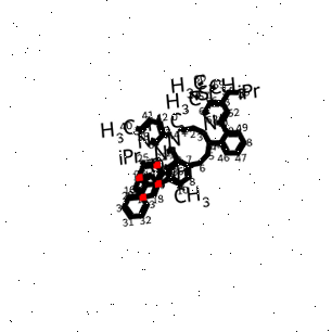 C=C1CC2C(CCc3cc(C)c4c(oc5ccccc54)c3-c3n(-c4c(C(C)C)cc(-c5ccccc5)cc4C(C)C)c4nc(C)ccc4[n+]31)c1ccccc1-c1cc(CC(C)C)c([Si](C)(C)C)c[n+]12